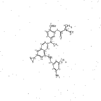 CCN(C)C(=O)Cc1cc(N(C)c2ccc3nc(C4CC4)nc(NCc4cc(N)cc(C(F)(F)F)c4)c3c2)cnc1OC